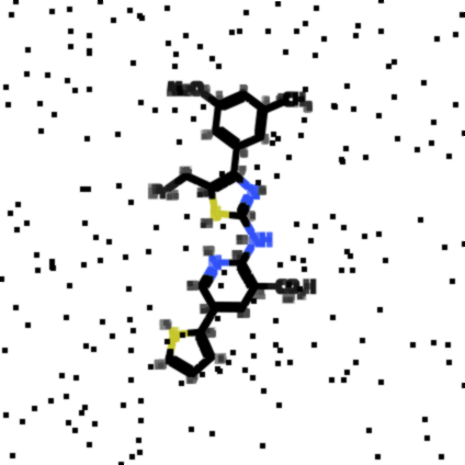 COc1cc(C)cc(-c2nc(Nc3ncc(-c4cccs4)cc3C(=O)O)sc2CC(C)C)c1